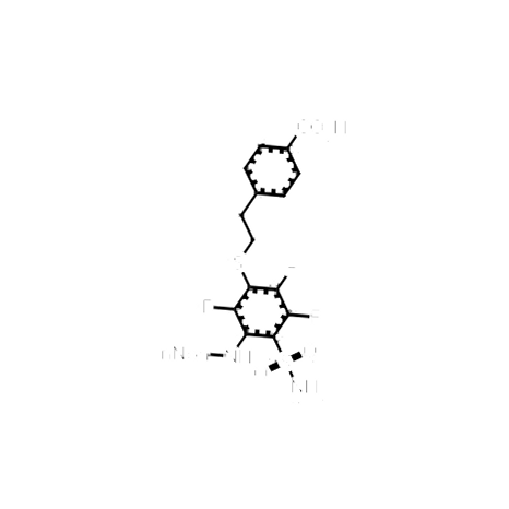 CCCCCCCCCNc1c(F)c(SCCc2ccc(C(=O)O)cc2)c(F)c(F)c1S(N)(=O)=O